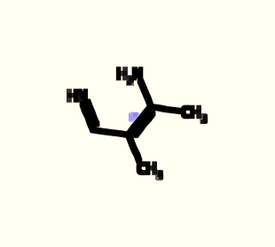 C/C(N)=C(\C)C=N